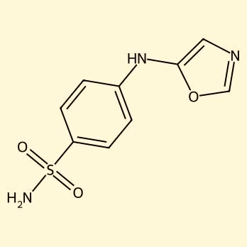 NS(=O)(=O)c1ccc(Nc2cnco2)cc1